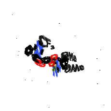 COc1ccc(CN(c2ncns2)S(=O)(=O)c2ccc3c(c2)OCCC3N2CCN(CC(F)(F)F)C[C@H]2c2ccccc2)c(OC)c1